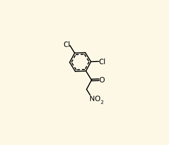 O=C(C[N+](=O)[O-])c1ccc(Cl)cc1Cl